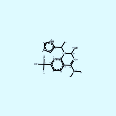 CC(c1cnc[nH]1)N1c2nc(C(F)(F)F)ccc2C(N(C)C)=NC1O